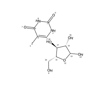 O=c1[nH]cc(I)c(=O)[nH]1.OC[C@H]1OC(O)[C@@H](O)[C@@H]1O